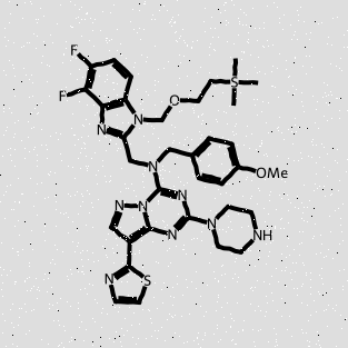 COc1ccc(CN(Cc2nc3c(F)c(F)ccc3n2COCCS(C)(C)C)c2nc(N3CCNCC3)nc3c(-c4nccs4)cnn23)cc1